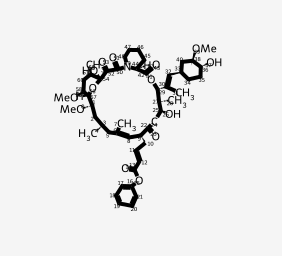 CO[C@H]1C[C@@H](C)C/C(C)=C/[C@@H](C/C=C/C(=O)Oc2ccccc2)C(=O)C[C@H](O)[C@@H](C)[C@@H](/C(C)=C/[C@@H]2CC[C@@H](O)[C@H](OC)C2)OC(=O)[C@@H]2CCCCN2C(=O)C(=O)[C@]2(O)O[C@H]1[C@@H](OC)C[C@H]2C